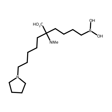 CNC(CCCCCN1CCCC1)(CCCCB(O)O)C(=O)O